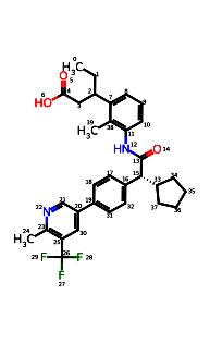 CCC(CC(=O)O)c1cccc(NC(=O)[C@@H](c2ccc(-c3cnc(C)c(C(F)(F)F)c3)cc2)C2CCCC2)c1C